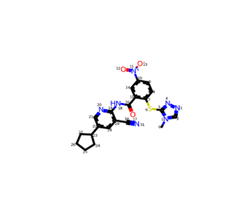 Cn1cnnc1Sc1ccc([N+](=O)[O-])cc1C(=O)Nc1ncc(C2CCCC2)cc1C#N